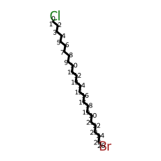 ClCCCCCCCCCCCCCCCCCCCCCCCCCBr